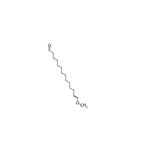 COC=CCCCCCCCCCCCC=O